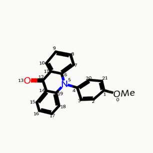 COc1ccc(-n2c3ccccc3c(=O)c3ccccc32)cc1